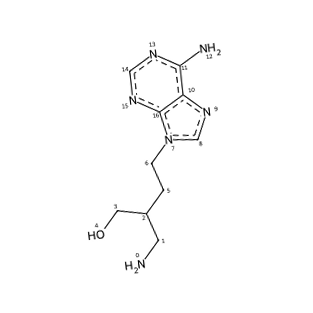 NCC(CO)CCn1cnc2c(N)ncnc21